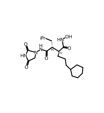 CC(C)C[C@@H](C(=O)NN1CC(=O)NC1=O)[C@H](CCCC1CCCCC1)C(=O)NO